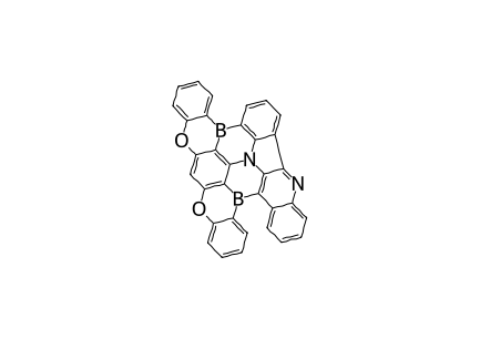 c1ccc2c(c1)Oc1cc3c4c5c1B2c1cccc2c6nc7ccccc7c(c6n-5c12)B4c1ccccc1O3